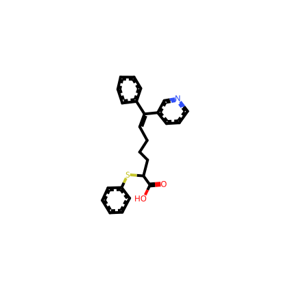 O=C(O)C(CCCC=C(c1ccccc1)c1cccnc1)Sc1ccccc1